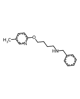 Cc1ccc(OCCCCNCc2ccccc2)nc1